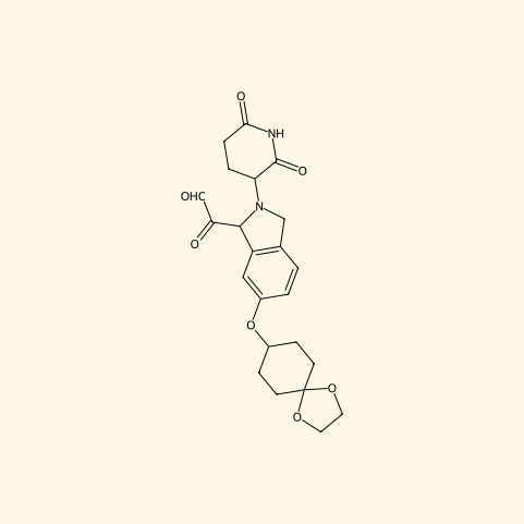 O=CC(=O)C1c2cc(OC3CCC4(CC3)OCCO4)ccc2CN1C1CCC(=O)NC1=O